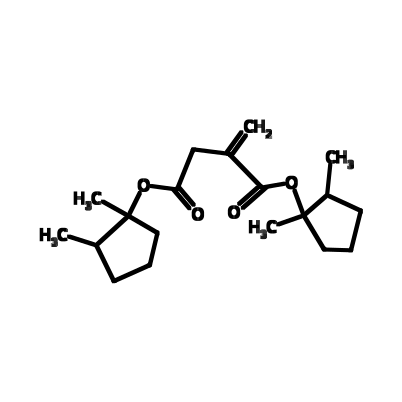 C=C(CC(=O)OC1(C)CCCC1C)C(=O)OC1(C)CCCC1C